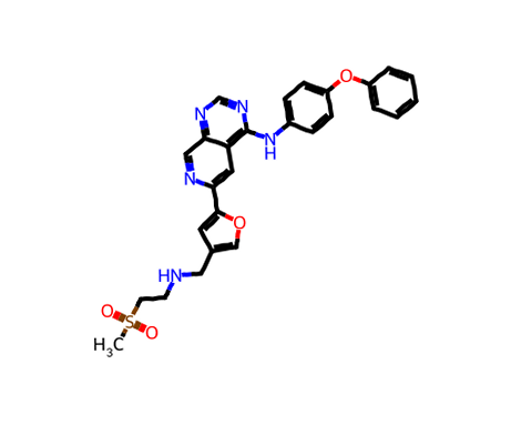 CS(=O)(=O)CCNCc1coc(-c2cc3c(Nc4ccc(Oc5ccccc5)cc4)ncnc3cn2)c1